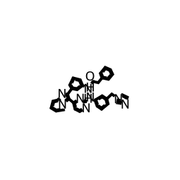 O=C(Cc1ccccc1)Nc1cccc(-c2nc3ccccn3c2-c2ccnc(Nc3cccc(Cn4ccnc4)c3)n2)c1